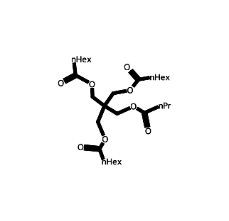 CCCCCCC(=O)OCC(COC(=O)CCC)(COC(=O)CCCCCC)COC(=O)CCCCCC